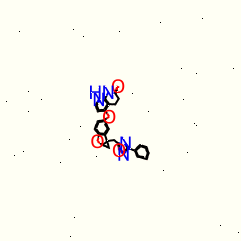 O=C1CCc2c(Oc3ccc4c(c3)C3(Cc5nc(-c6ccccc6)no5)CC3O4)ccnc2N1